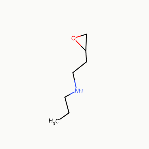 CCCNCCC1CO1